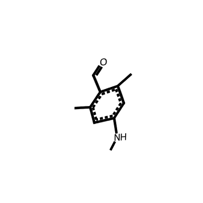 CNc1cc(C)c(C=O)c(C)c1